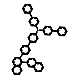 c1ccc(-c2ccc(N(c3ccc(-c4ccccc4)cc3)c3ccc(-c4ccc(-c5ccc6ccccc6c5-c5ccc6ccccc6c5)cc4)cc3)cc2)cc1